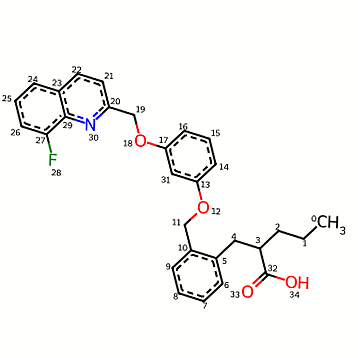 CCCC(Cc1ccccc1COc1cccc(OCc2ccc3cccc(F)c3n2)c1)C(=O)O